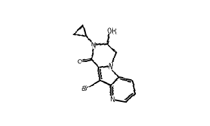 O=C1c2c(Br)c3ncccc3n2CC(O)N1C1CC1